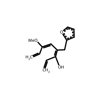 C=C/C(=C\C(Cc1ccco1)=C(\O)C=C)OC